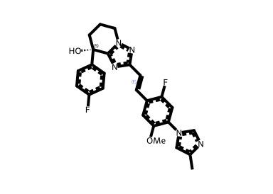 COc1cc(/C=C/c2nc3n(n2)CCC[C@]3(O)c2ccc(F)cc2)c(F)cc1-n1cnc(C)c1